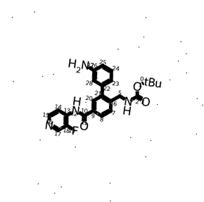 CC(C)(C)OC(=O)NCc1ccc(C(=O)Nc2ccncc2F)cc1-c1cccc(N)c1